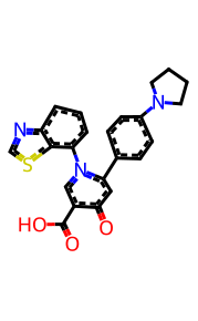 O=C(O)c1cn(-c2cccc3ncsc23)c(-c2ccc(N3CCCC3)cc2)cc1=O